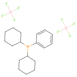 F[B-](F)(F)F.F[B-](F)(F)F.c1ccc(P(C2CCCCC2)C2CCCCC2)cc1